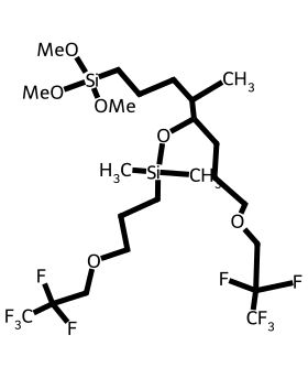 CO[Si](CCCC(C)C(CCCOCC(F)(F)C(F)(F)F)O[Si](C)(C)CCCOCC(F)(F)C(F)(F)F)(OC)OC